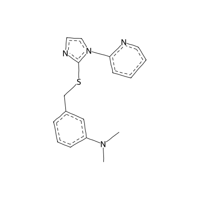 CN(C)c1cccc(CSc2nccn2-c2ccccn2)c1